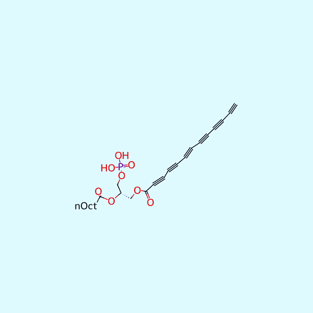 C#CC#CC#CC#CC#CC#CC(=O)OC[C@@H](COP(=O)(O)O)OC(=O)CCCCCCCC